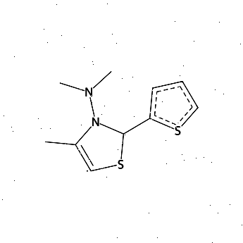 CC1=[C]SC(c2cccs2)N1N(C)C